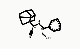 N#C[C@H](N[C@@H](CO)c1ccccc1)C12CC3CC(CC(C3)C1)C2